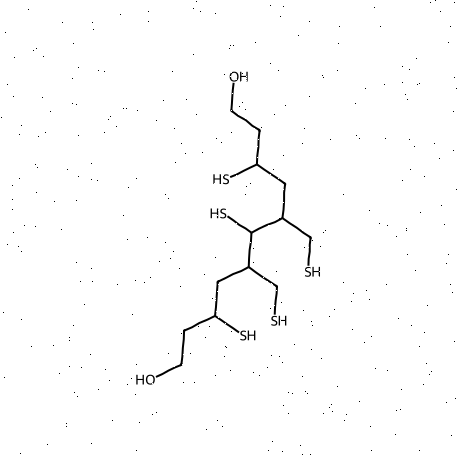 OCCC(S)CC(CS)C(S)C(CS)CC(S)CCO